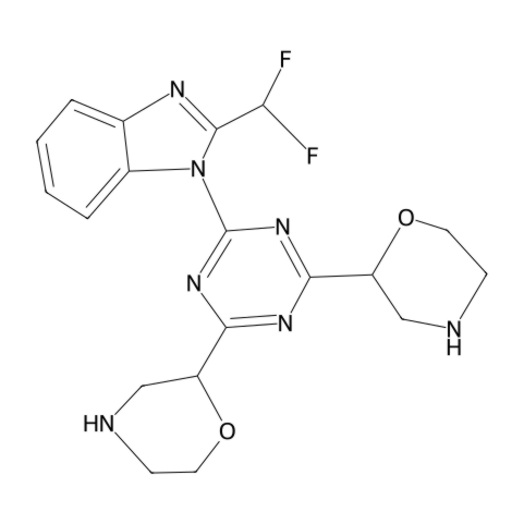 FC(F)c1nc2ccccc2n1-c1nc(C2CNCCO2)nc(C2CNCCO2)n1